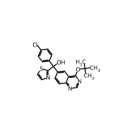 CC(C)(C)Oc1ncnc2ccc(C(O)(c3ccc(Cl)cc3)c3nccs3)cc12